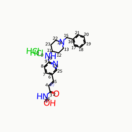 Cl.Cl.O=C(/C=C/c1ccc(NC2CCN(Cc3ccccc3)CC2)nc1)NO